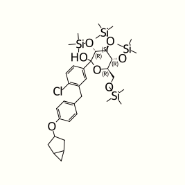 C[Si](C)(C)OC[C@H]1OC(O)(c2ccc(Cl)c(Cc3ccc(OC4CC5CC5C4)cc3)c2)[C@H](O[Si](C)(C)C)[C@@H](O[Si](C)(C)C)[C@@H]1O[Si](C)(C)C